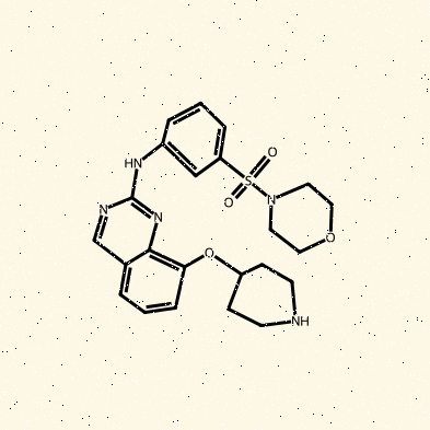 O=S(=O)(c1cccc(Nc2ncc3cccc(OC4CCNCC4)c3n2)c1)N1CCOCC1